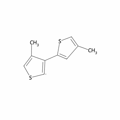 Cc1csc(-c2[c]scc2C)c1